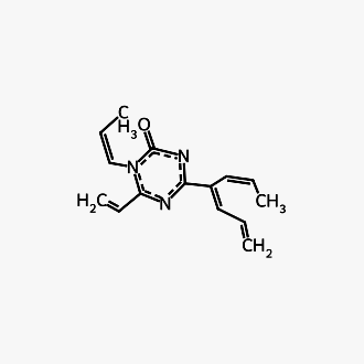 C=C/C=C(\C=C/C)c1nc(C=C)n(/C=C\C)c(=O)n1